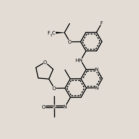 Cc1c(OC2CCOC2)c(N=S(C)(C)=O)cc2ncnc(Nc3ccc(F)cc3O[C@H](C)C(F)(F)F)c12